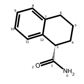 NC(=O)[C@H]1CCCc2ccccc21